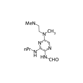 CCCNc1nc(N(C)CCNC)cnc1NC=O